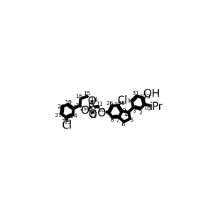 CC(C)c1cc(C2CCc3cc(OCP4(=O)OCCC(c5cccc(Cl)c5)O4)cc(Cl)c32)ccc1O